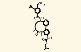 CC(C)COC(=O)Nc1ccc2c(c1)NC(=O)[C@@H](C)CCC[C@H](NC(=O)c1ccc(CN)c(C3CC3)c1)c1cc-2ccn1